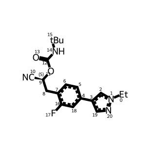 CCn1cc(-c2ccc(C[C@@H](C#N)OC(=O)NC(C)(C)C)c(F)c2)cn1